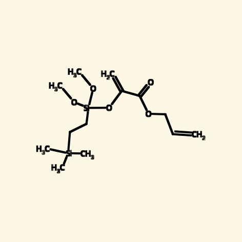 C=CCOC(=O)C(=C)O[Si](CC[Si](C)(C)C)(OC)OC